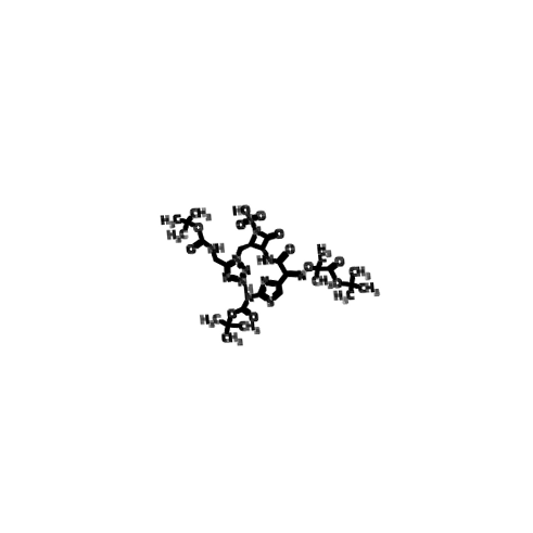 CC(C)(C)OC(=O)NCc1nnnn1C[C@@H]1[C@H](NC(=O)/C(=N\OC(C)(C)C(=O)OC(C)(C)C)c2csc(NC(=O)OC(C)(C)C)n2)C(=O)N1S(=O)(=O)O